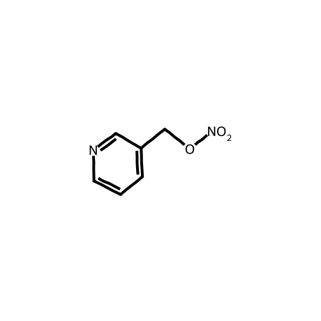 O=[N+]([O-])OCc1cccnc1